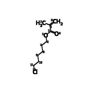 C=C(C)C(=O)OCCCCCCCl